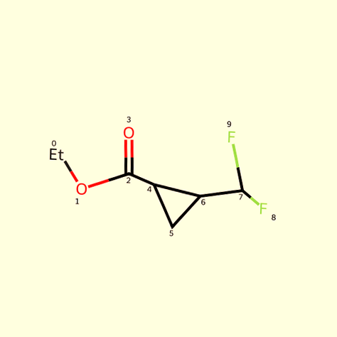 CCOC(=O)C1CC1C(F)F